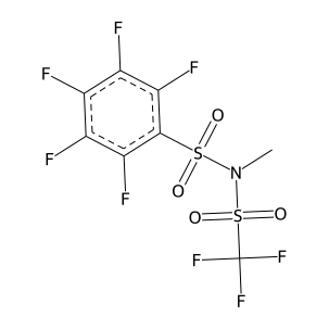 CN(S(=O)(=O)c1c(F)c(F)c(F)c(F)c1F)S(=O)(=O)C(F)(F)F